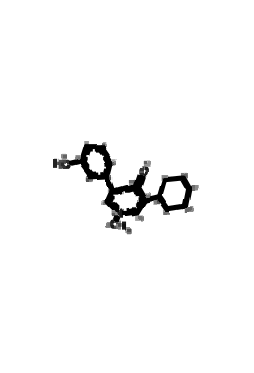 Cn1cc(-c2cccc(O)c2)c(=O)c(C2CCCCC2)c1